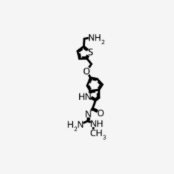 CNC(N)=NC(=O)c1cc2ccc(OCc3ccc(CN)s3)cc2[nH]1